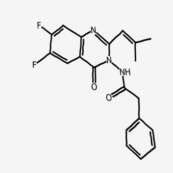 CC(C)=Cc1nc2cc(F)c(F)cc2c(=O)n1NC(=O)Cc1ccccc1